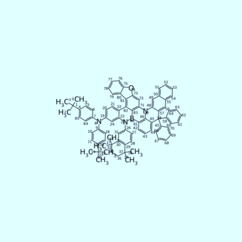 CC(C)(C)c1ccc(N(c2ccc(C(C)(C)C)cc2)c2ccc3c(c2)N(c2ccc4c(c2)C(C)(C)CCC4(C)C)B2c4cccc5c4N(c4cc6ccccc6cc4C5(c4ccccc4)c4ccccc4)c4cc5oc6ccccc6c5c-3c42)cc1